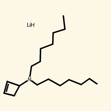 CCCCCCCN(CCCCCCC)C1[CH]C=C1.[LiH]